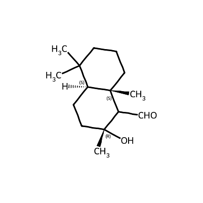 CC1(C)CCC[C@]2(C)C(C=O)[C@](C)(O)CC[C@@H]12